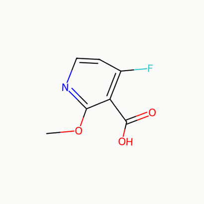 COc1nccc(F)c1C(=O)O